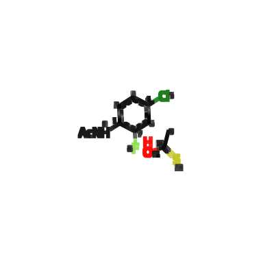 CC(=O)Nc1ccc(Cl)cc1F.CC(O)=S